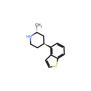 C[C@@H]1C[C@@H](c2cccc3sccc23)CCN1